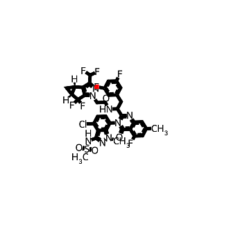 Cc1cc(F)c2c(=O)n(-c3ccc(Cl)c4c(NS(C)(=O)=O)nn(C)c34)c(C(Cc3cc(F)cc(F)c3)NC(=O)Cn3nc(C(F)F)c4c3C(F)(F)[C@@H]3C[C@H]43)nc2c1